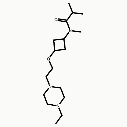 CCN1CCN(CCOC2CC(N(C)C(=O)C(C)C)C2)CC1